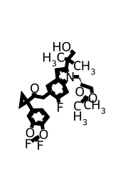 CC1(C)OC[C@@H](Cn2c(C(C)(C)CO)cc3cc(CC(=O)C4(c5ccc6c(c5)OC(F)(F)O6)CC4)c(F)cc32)O1